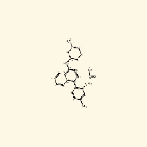 COc1cc(C(F)(F)F)ccc1-c1nnc(N[C@@H]2CCCN(C)C2)c2cnccc12.O=CO